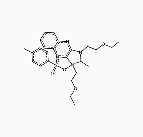 CCOCCN1c2nc3ccccc3nc2[N+](CCOCC)(OS(=O)(=O)c2ccc(C)cc2)C1C